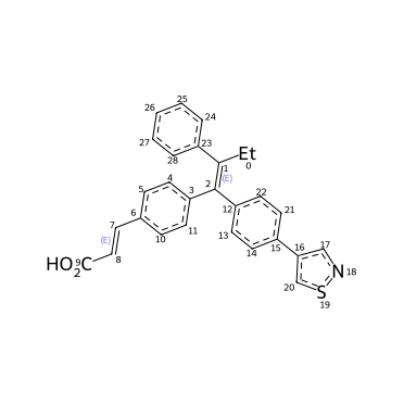 CC/C(=C(/c1ccc(/C=C/C(=O)O)cc1)c1ccc(-c2cnsc2)cc1)c1ccccc1